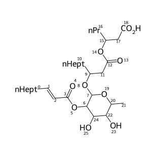 CCCCCCCC=CC(=O)OC1C(OC(CCCCCCC)CC(=O)OC(CCC)CC(=O)O)OC(C)C(O)C1O